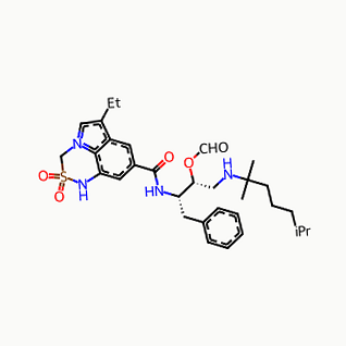 CCc1cn2c3c(cc(C(=O)N[C@@H](Cc4ccccc4)[C@@H](CNC(C)(C)CCCC(C)C)OC=O)cc13)NS(=O)(=O)C2